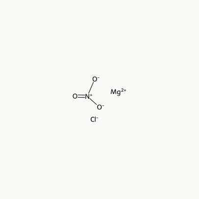 O=[N+]([O-])[O-].[Cl-].[Mg+2]